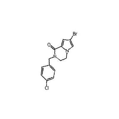 O=C1c2cc(Br)cn2CCN1Cc1ccc(Cl)cc1